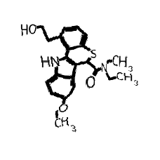 CCOc1ccc2[nH]c3c(c2c1)C(C(=O)N(CC)CC)Sc1cccc(CCO)c1-3